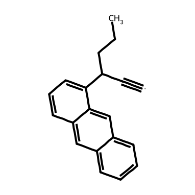 [C]#CC(CCC)c1cccc2cc3ccccc3cc12